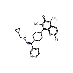 Cn1c(=O)c(C#N)c(N2CCC(/C(=N\OCC3CC3)c3cnccn3)CC2)c2nc(Cl)ccc21